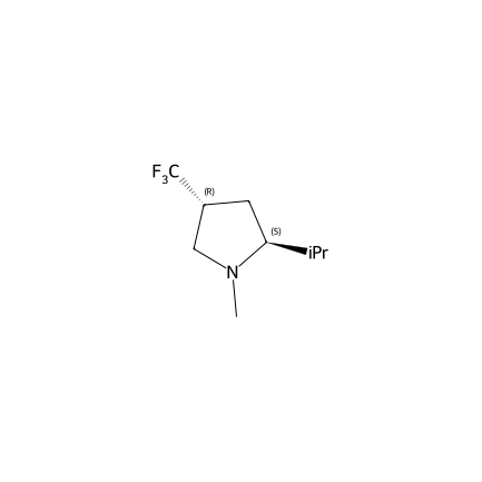 CC(C)[C@@H]1C[C@@H](C(F)(F)F)CN1C